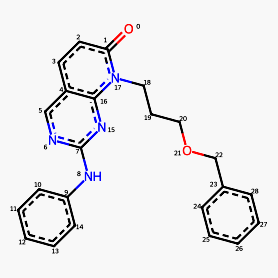 O=c1ccc2cnc(Nc3ccccc3)nc2n1CCCOCc1ccccc1